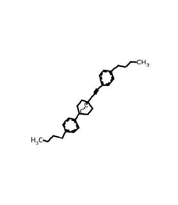 CCCCc1ccc(C#CC23CCC(c4ccc(CCCC)cc4)(CC2)CC3)cc1